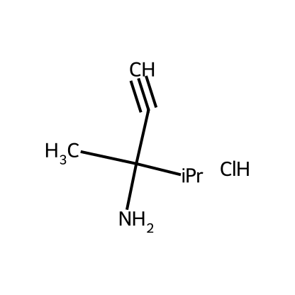 C#CC(C)(N)C(C)C.Cl